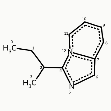 CCC(C)c1ncc2ccccn12